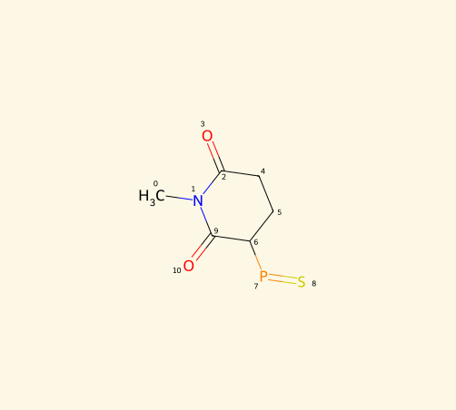 CN1C(=O)CCC(P=S)C1=O